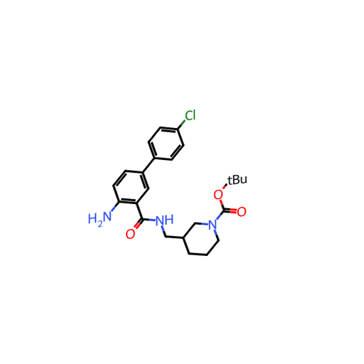 CC(C)(C)OC(=O)N1CCCC(CNC(=O)c2cc(-c3ccc(Cl)cc3)ccc2N)C1